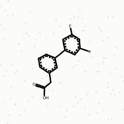 O=C(O)Cc1cccc(-c2cc(F)cc(F)c2)c1